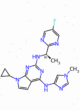 C[C@@H](Nc1nc(Nc2cn(C)cn2)c2ccn(C3CC3)c2n1)c1ncc(F)cn1